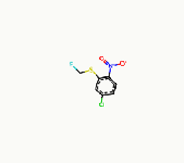 O=[N+]([O-])c1ccc(Cl)cc1SCF